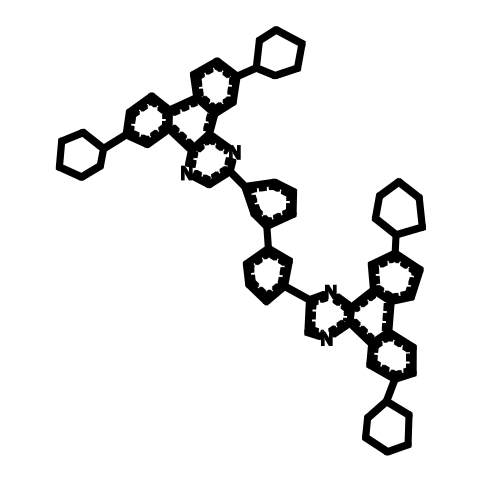 c1cc(-c2cccc(-c3cnc4c5cc(C6CCCCC6)ccc5c5ccc(C6CCCCC6)cc5c4n3)c2)cc(-c2cnc3c4cc(C5CCCCC5)ccc4c4ccc(C5CCCCC5)cc4c3n2)c1